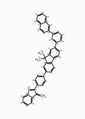 C=C1C(c2ccc(-c3ccc4c(c3)C(C)(C)c3cc(-c5cccc(-c6ccc7ccccc7c6)n5)ccc3-4)cc2)=Nc2ccccc21